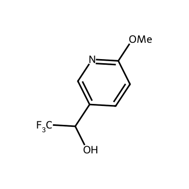 COc1ccc(C(O)C(F)(F)F)cn1